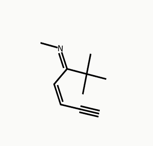 C#C/C=C\C(=N/C)C(C)(C)C